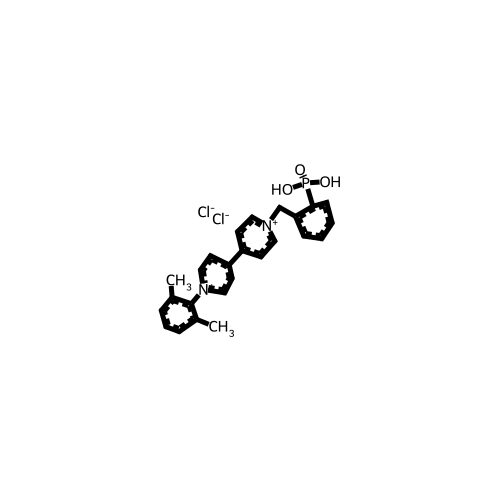 Cc1cccc(C)c1-[n+]1ccc(-c2cc[n+](Cc3ccccc3P(=O)(O)O)cc2)cc1.[Cl-].[Cl-]